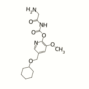 COc1cc(COC2CCCCC2)cnc1OC(=O)NC(=O)CN